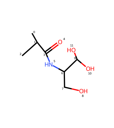 CC(C)C(=O)NC(CO)C(O)O